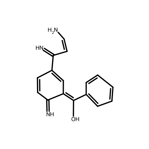 N=C(/C=C\N)C1=C/C(=C(/O)c2ccccc2)C(=N)C=C1